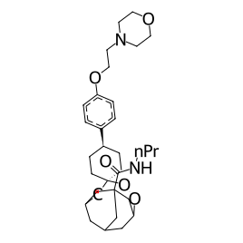 CCCNC(=O)C12CC3CC(C1)C[C@]1(CC[C@H](c4ccc(OCCN5CCOCC5)cc4)CC1)OOC(C3)C2